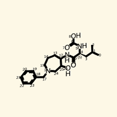 CC(C)C[C@H](NC(=O)O)C(=O)NC1CCCN(Cc2ccccc2)CC1O